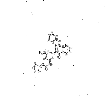 O=C(Nc1cc(NC(=O)c2cccnc2NCc2ccncc2)cc(C(F)(F)F)c1)OC1CCOC1